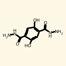 NNC(=O)c1cc(O)c(C(=O)NN)cc1O